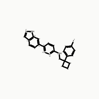 Fc1ccc(C2(CNc3ccc(-c4ccc5cn[nH]c5c4)nn3)CCC2)cc1